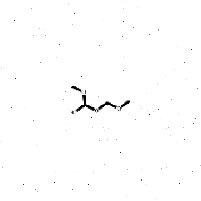 COCOC([O])OC